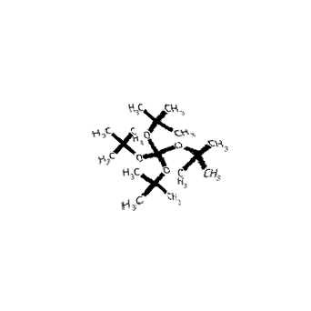 CC(C)(C)OC(OC(C)(C)C)(OC(C)(C)C)OC(C)(C)C